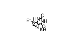 CCn1cnc2c(=O)[nH]c(=O)[nH]c21.[KH]